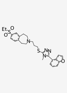 CCS(=O)(=O)c1ccc2c(c1)CCN(CCCSc1nnc(-c3cccc4occc34)n1C)CC2